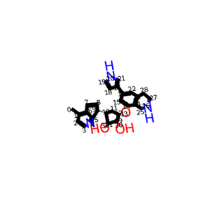 Cc1ccnc2c1C=CC2[C@@H]1C[C@H](Oc2cc(-c3cc[nH]c3)cc3c2CNCC3)[C@@H](O)[C@H]1O